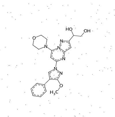 COc1nn(-c2cc(N3CCOCC3)n3nc(C(O)CO)cc3n2)cc1-c1ccccc1